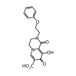 O=C(O)c1cn2c(c(O)c1=O)C(=O)N(CCOc1ccccc1)CC2